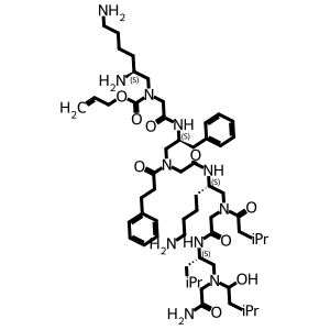 C=CCOC(=O)N(CC(=O)N[C@@H](Cc1ccccc1)CN(CC(=O)N[C@@H](CCCCN)CN(CC(=O)N[C@@H](CC(C)C)CN(CC(N)=O)C(O)CC(C)C)C(=O)CC(C)C)C(=O)CCc1ccccc1)C[C@@H](N)CCCCN